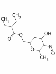 CCC(CC)C(=O)OCC1CC(O)C(N=O)C(C)O1